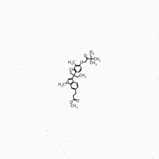 CCC(CC)(c1ccc(OCC(=O)C(C)(C)C)c(C)c1)c1cn(C)c2cc(CCC(=O)OC)ccc12